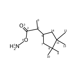 CC(C(=O)ON)C1CC(C)(C)C(C)(C)C1